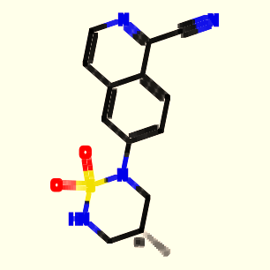 C[C@@H]1CNS(=O)(=O)N(c2ccc3c(C#N)nccc3c2)C1